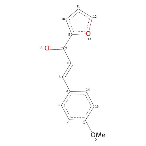 COc1ccc(/C=C/C(=O)c2ccco2)cc1